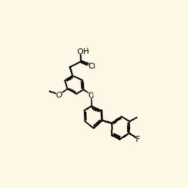 COc1cc(CC(=O)O)cc(Oc2cccc(-c3ccc(F)c(C)c3)c2)c1